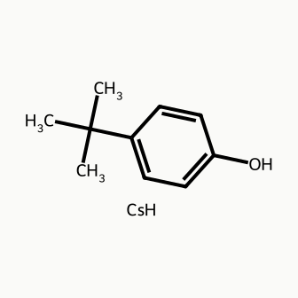 CC(C)(C)c1ccc(O)cc1.[CsH]